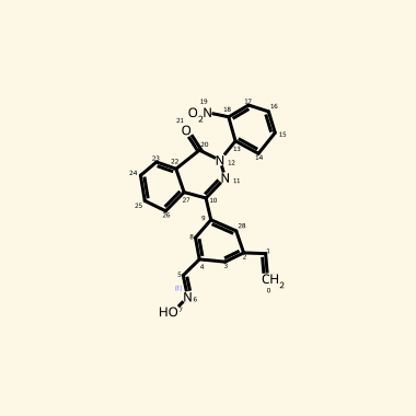 C=Cc1cc(/C=N/O)cc(-c2nn(-c3ccccc3[N+](=O)[O-])c(=O)c3ccccc23)c1